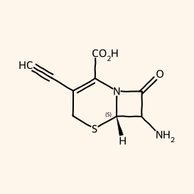 C#CC1=C(C(=O)O)N2C(=O)C(N)[C@@H]2SC1